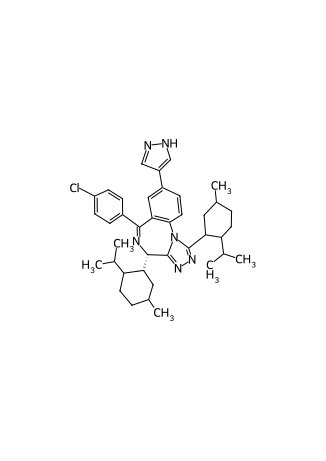 CC1CCC(C(C)C)C(c2nnc3n2-c2ccc(-c4cn[nH]c4)cc2C(c2ccc(Cl)cc2)=N[C@H]3C2CC(C)CCC2C(C)C)C1